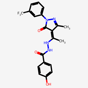 CC1=NN(c2cccc(C(F)(F)F)c2)C(=O)/C1=C(/C)NNC(=O)c1ccc(O)cc1